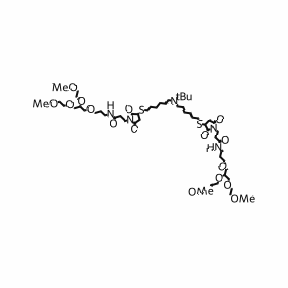 COCCOCC(COCCCNC(=O)CCN1C(=O)CC(SCCCCCCN(CCCCCCSC2CC(=O)N(CCC(=O)NCCCOCC(COCCOC)OCCOC)C2=O)C(C)(C)C)C1=O)OCCOC